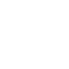 CCCN(CCC)C1Cc2cccc3oc(=O)n(c23)C1